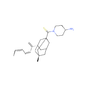 C=C(/C=C\C=C/C)[C@]12CC3CC(C(=S)N4CCC(N)CC4)(C[C@](C)(C3)C1)C2